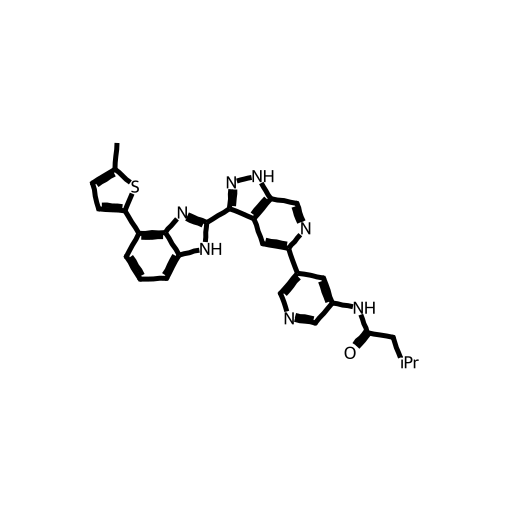 Cc1ccc(-c2cccc3[nH]c(-c4n[nH]c5cnc(-c6cncc(NC(=O)CC(C)C)c6)cc45)nc23)s1